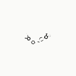 N#Cc1ccc(N[C@H]2CC[C@H](OCC(=O)N3CCCN(c4ccc([N+](=O)[O-])c(C(F)(F)F)c4)CC3)CC2)cc1C(F)(F)F